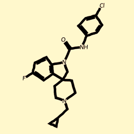 O=C(Nc1ccc(Cl)cc1)N1CC2(CCN(CC3CC3)CC2)c2cc(F)ccc21